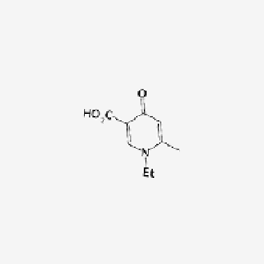 CCn1cc(C(=O)O)c(=O)cc1C